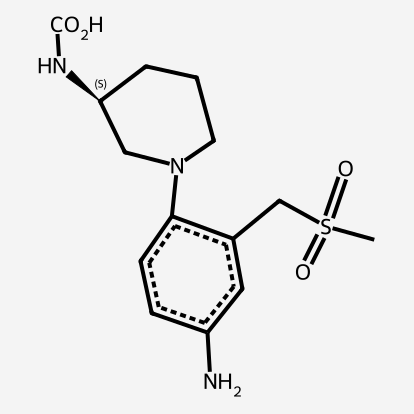 CS(=O)(=O)Cc1cc(N)ccc1N1CCC[C@H](NC(=O)O)C1